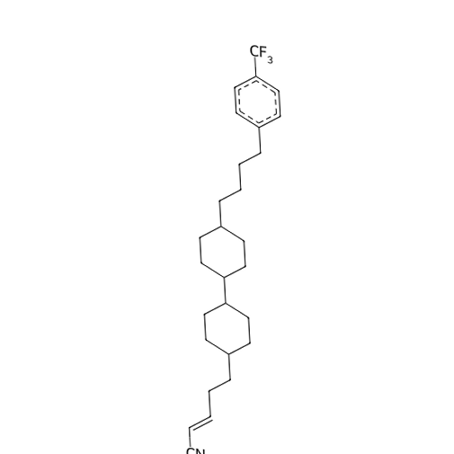 N#CC=CCCC1CCC(C2CCC(CCCCc3ccc(C(F)(F)F)cc3)CC2)CC1